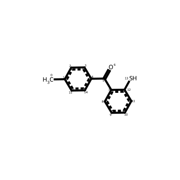 Cc1ccc(C(=O)c2ccccc2S)cc1